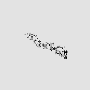 CC(C)(C)c1ccc(CC(=O)N2CCN(c3ccc4nncn4n3)CC2)cc1